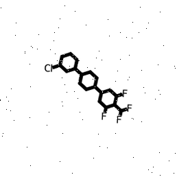 FC(F)C1C(F)CC(C2CCC(C3CCCC(Cl)C3)CC2)CC1F